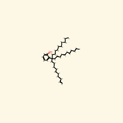 CCCCCCCCCCCC(CCCCCCCCCC)(CCCCCCCCCC)c1ccccc1O